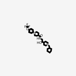 O=C(NCC(O)C1CCN(CC2CCCCC2)CC1)C1CCN(c2ccc(OC(F)(F)F)cc2)CC1